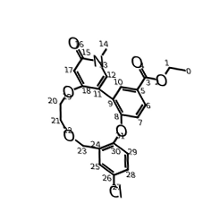 CCOC(=O)c1ccc2c(c1)-c1cn(C)c(=O)cc1OCCOCc1cc(Cl)ccc1O2